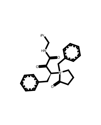 CC(C)CNC(=O)C(=O)[C@H](Cc1ccccc1)[N+]1(Cc2ccccc2)CCCC1=O